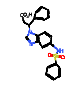 O=C(O)CC(c1ccccc1)n1cnc2cc(NS(=O)(=O)c3ccccc3)ccc21